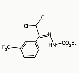 CCOC(=O)N/N=C(\c1cccc(C(F)(F)F)c1)C(Cl)Cl